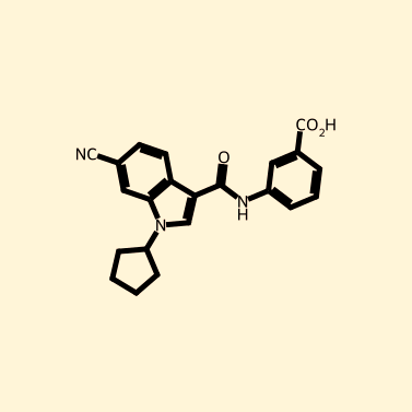 N#Cc1ccc2c(C(=O)Nc3cccc(C(=O)O)c3)cn(C3CCCC3)c2c1